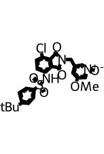 COc1cc(CN2C(=O)c3c(Cl)ccc(NS(=O)(=O)c4ccc(C(C)(C)C)cc4)c3C2=O)c[n+]([O-])c1